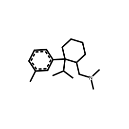 Cc1cccc(C2(C(C)C)CCCCC2CN(C)C)c1